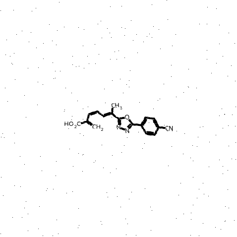 C=C(/C=C\C=C(/C)c1nnc(-c2ccc(C#N)cc2)o1)C(=O)O